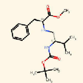 COC(=O)[C@H](Cc1ccccc1)NC[C@@H](NC(=O)OC(C)(C)C)C(C)C